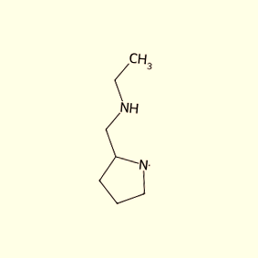 CCNCC1CCC[N]1